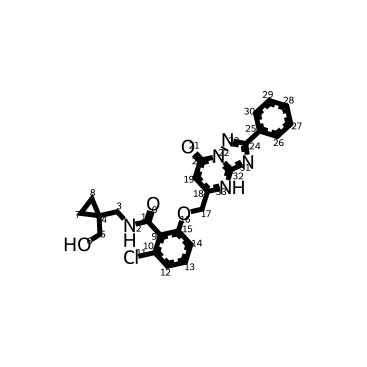 O=C(NCC1(CO)CC1)c1c(Cl)cccc1OCc1cc(=O)n2nc(-c3ccccc3)nc2[nH]1